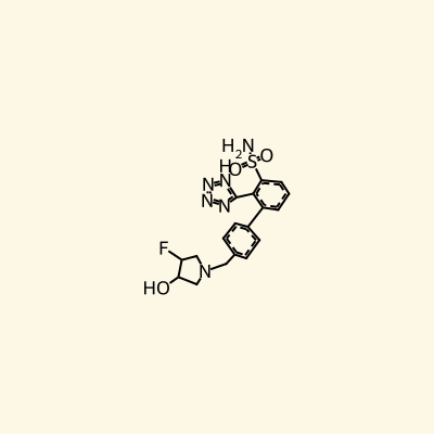 NS(=O)(=O)c1cccc(-c2ccc(CN3CC(O)C(F)C3)cc2)c1-c1nnn[nH]1